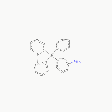 Nc1cccc([Si]2(c3ccccc3)c3ccccc3-c3ccccc32)c1